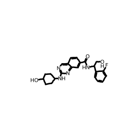 O=C(NC(CO)c1ccccc1F)c1ccc2cnc(NC3CCC(O)CC3)nc2c1